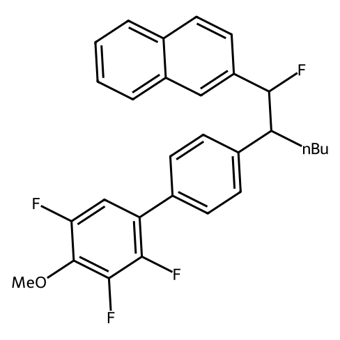 CCCCC(c1ccc(-c2cc(F)c(OC)c(F)c2F)cc1)C(F)c1ccc2ccccc2c1